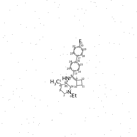 CCN1CCC(C)[C@@H](NC(=C2CCC2)c2ccc(-c3ccc(F)cc3)cc2)C1